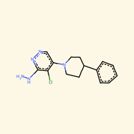 NNc1nncc(N2CCC(c3ccccc3)CC2)c1Cl